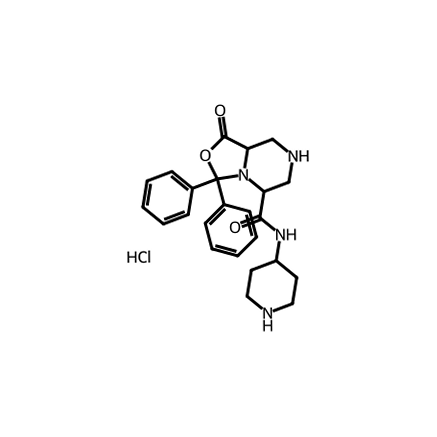 Cl.O=C(NC1CCNCC1)C1CNCC2C(=O)OC(c3ccccc3)(c3ccccc3)N12